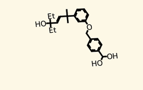 CCC(O)(C=CC(C)(C)c1cccc(OCc2ccc(C(O)O)cc2)c1)CC